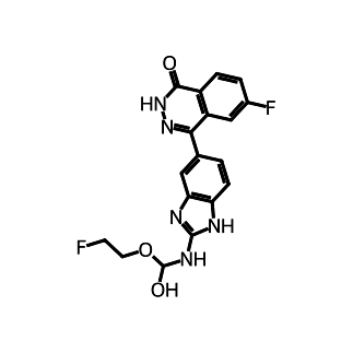 O=c1[nH]nc(-c2ccc3[nH]c(NC(O)OCCF)nc3c2)c2cc(F)ccc12